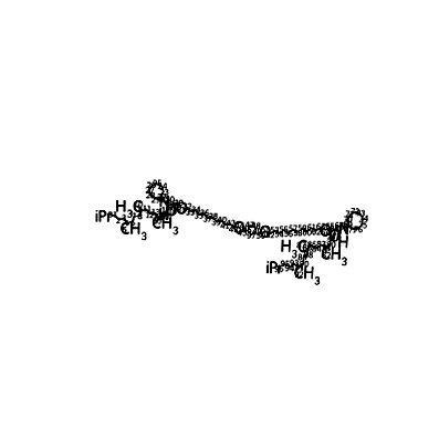 CC(C)CCC[C@@H](C)CCC[C@@H](C)CCCC(C)CCO[C@H](CNC1CCCCCCC1)COCCCCCCCCCCCCOC[C@@H]1CC[C@H](COCCCCCCCCCCCCOC[C@H](CNC2CCCCCCCC2)OCCC(C)CCC[C@H](C)CCC[C@H](C)CCCC(C)C)C1